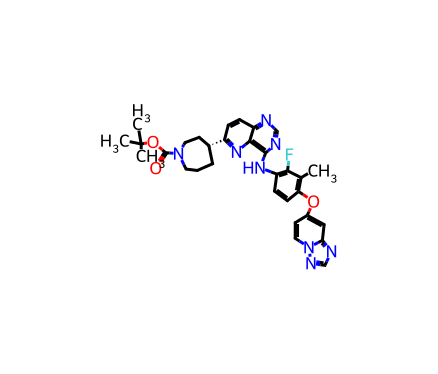 Cc1c(Oc2ccn3ncnc3c2)ccc(Nc2ncnc3ccc([C@@H]4CCCN(C(=O)OC(C)(C)C)CC4)nc23)c1F